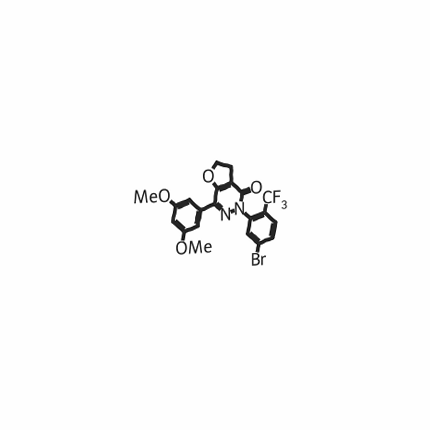 COc1cc(OC)cc(-c2nn(-c3cc(Br)ccc3C(F)(F)F)c(=O)c3c2OCC3)c1